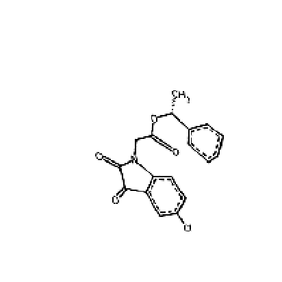 C[C@@H](OC(=O)CN1C(=O)C(=O)c2cc(Cl)ccc21)c1ccccc1